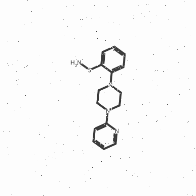 NSc1ccccc1N1CCN(c2ccccn2)CC1